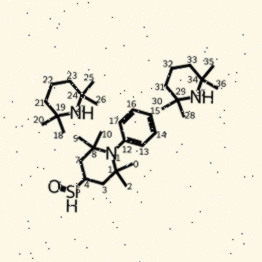 CC1(C)CC([SiH]=O)CC(C)(C)N1c1ccccc1.CC1(C)CCCC(C)(C)N1.CC1(C)CCCC(C)(C)N1